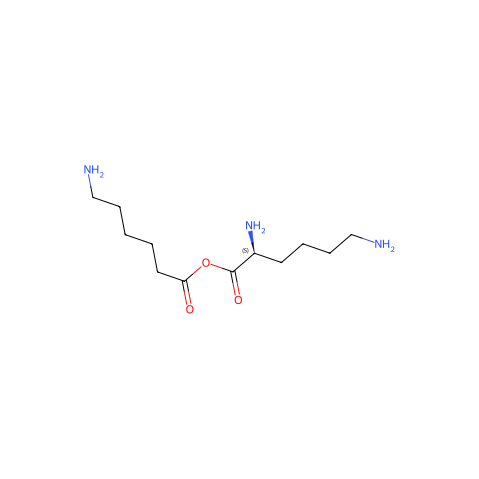 NCCCCCC(=O)OC(=O)[C@@H](N)CCCCN